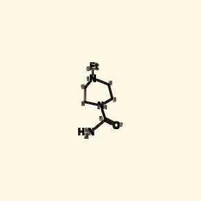 [CH2+][CH-]N1CCN(C(N)=O)CC1